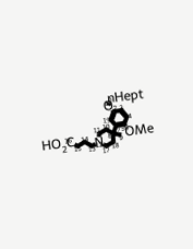 CCCCCCCOc1ccc(OC)c(C2(C)CCN(CCCC(=O)O)CC2)c1